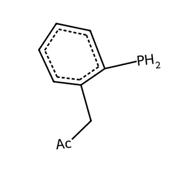 CC(=O)Cc1ccccc1P